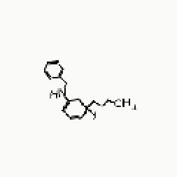 CCCCC1(I)C=CC=C(NCc2ccccc2)C1